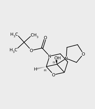 CC(C)(C)OC(=O)N1CCC2O[C@@H]1[C@]2(O)N1CCOC1